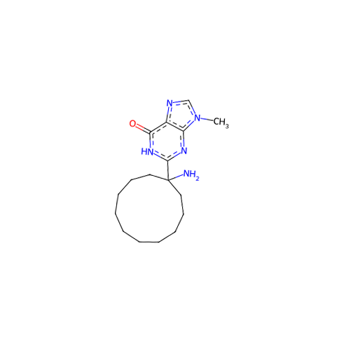 Cn1cnc2c(=O)[nH]c(C3(N)CCCCCCCCCC3)nc21